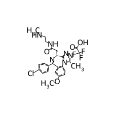 CNCCNC(=O)C[C@@H]1N=C(c2ccc(Cl)cc2)c2cc(OC)ccc2-n2c(C)nnc21.O=C(O)C(F)(F)F